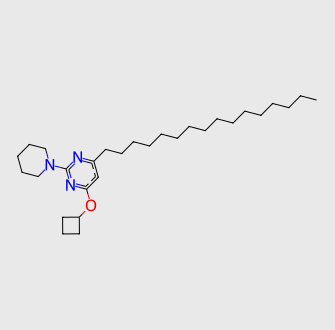 CCCCCCCCCCCCCCCCc1cc(OC2CCC2)nc(N2CCCCC2)n1